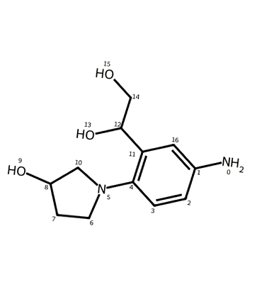 Nc1ccc(N2CCC(O)C2)c(C(O)CO)c1